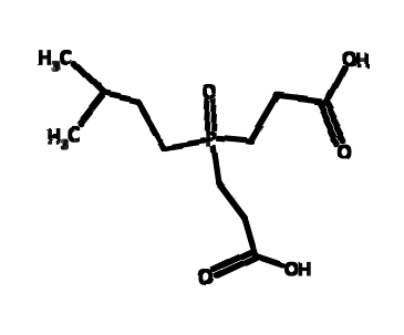 CC(C)CCP(=O)(CCC(=O)O)CCC(=O)O